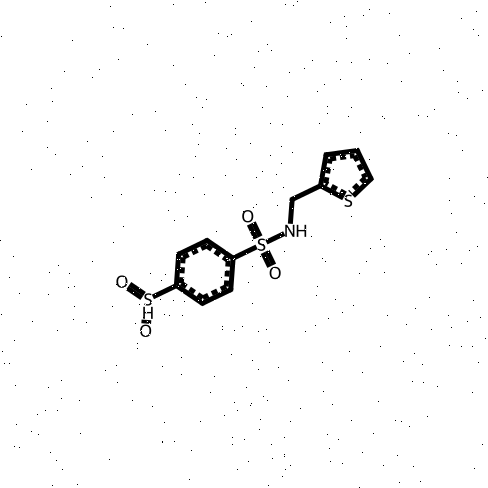 O=[SH](=O)c1ccc(S(=O)(=O)NCc2cccs2)cc1